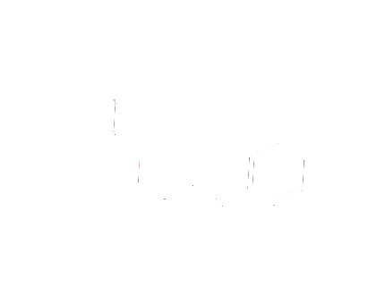 C=C(C)C(=O)OC(C)CCNc1ccccc1